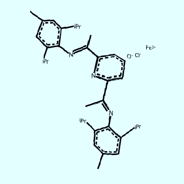 CC(=Nc1c(C(C)C)cc(C)cc1C(C)C)c1cccc(C(C)=Nc2c(C(C)C)cc(C)cc2C(C)C)n1.[Cl-].[Cl-].[Fe+2]